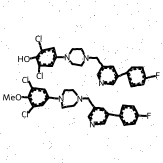 COc1c(Cl)cc(N2CCN(Cc3cncc(-c4ccc(F)cc4)c3)CC2)cc1Cl.Oc1c(Cl)cc(N2CCN(Cc3cncc(-c4ccc(F)cc4)c3)CC2)cc1Cl